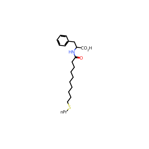 CCCSCCCCCCCCCC(=O)NC(Cc1ccccc1)C(=O)O